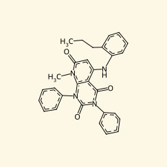 CCCc1ccccc1Nc1cc(=O)n(C)c2c1c(=O)n(-c1ccccc1)c(=O)n2-c1ccccc1